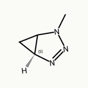 CN1N=N[C@H]2CC21